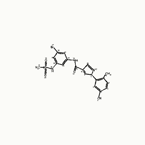 Cc1ccc(C#N)cc1-n1cc(C(=O)Nc2cc(Br)cc(NS(C)(=O)=O)c2)cn1